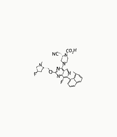 Cc1cccc2cccc(-c3ncc4c(N5CCN(C(=O)O)[C@@H](CC#N)C5)nc(OC[C@@H]5C[C@@H](F)CN5C)nc4c3F)c12